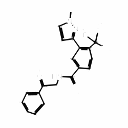 Cn1ccc(-c2cc(C(=O)NCC(=O)c3ccccc3)ccc2C(F)(F)F)n1